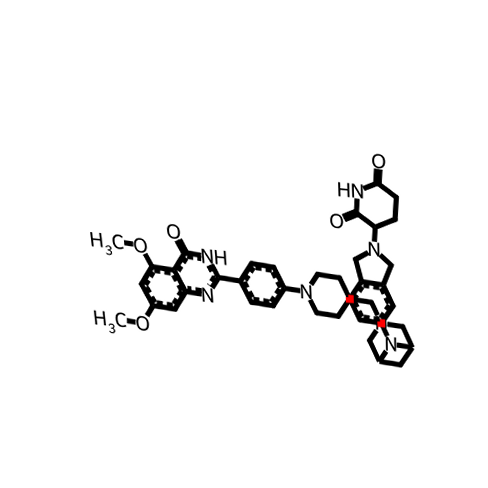 COc1cc(OC)c2c(=O)[nH]c(-c3ccc(N4CCC(CN5CC6CC(C5)N6c5ccc6c(c5)CN(C5CCC(=O)NC5=O)C6)CC4)cc3)nc2c1